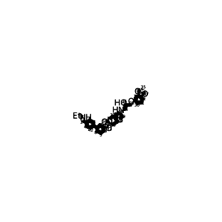 CCNCc1ccc(-c2cccc(S(=O)(=O)N3CCC4(CC3)CC(NC[C@H](O)COc3cccc(S(C)(=O)=O)c3)CO4)c2)cc1